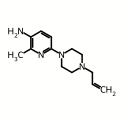 C=CCN1CCN(c2ccc(N)c(C)n2)CC1